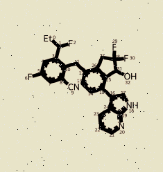 CCC(F)c1cc(F)cc(C#N)c1Cc1ccc(-c2c[nH]c3ncccc23)c2c1CC(F)(F)C2O